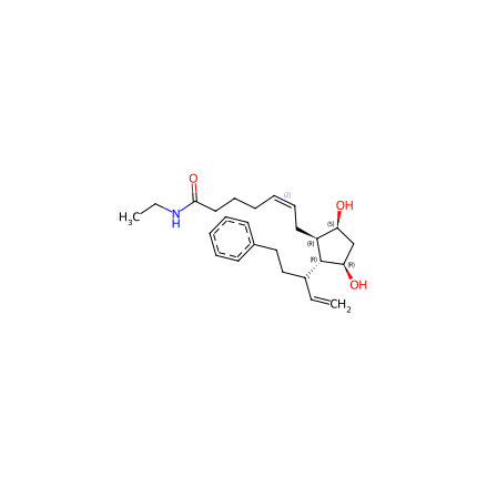 C=C[C](CCc1ccccc1)[C@@H]1[C@@H](C/C=C\CCCC(=O)NCC)[C@@H](O)C[C@H]1O